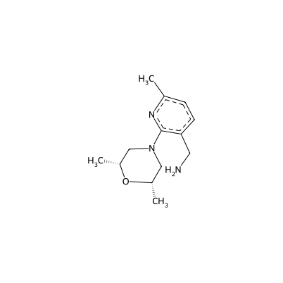 Cc1ccc(CN)c(N2C[C@@H](C)O[C@@H](C)C2)n1